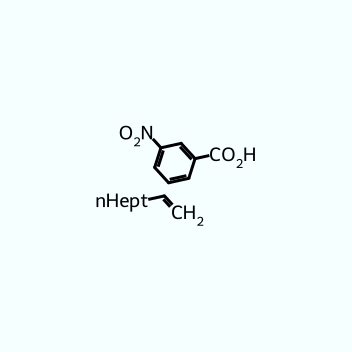 C=CCCCCCCC.O=C(O)c1cccc([N+](=O)[O-])c1